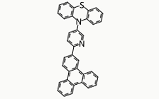 c1ccc2c(c1)Sc1ccccc1N2c1ccc(-c2ccc3c4ccccc4c4ccccc4c3c2)nc1